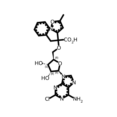 Cc1cc(C(Cc2ccccc2)(OC[C@H]2O[C@@H](n3cnc4c(N)nc(Cl)nc43)[C@H](O)[C@@H]2O)C(=O)O)no1